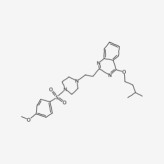 COc1ccc(S(=O)(=O)N2CCN(CCc3nc(OCCC(C)C)c4ccccc4n3)CC2)cc1